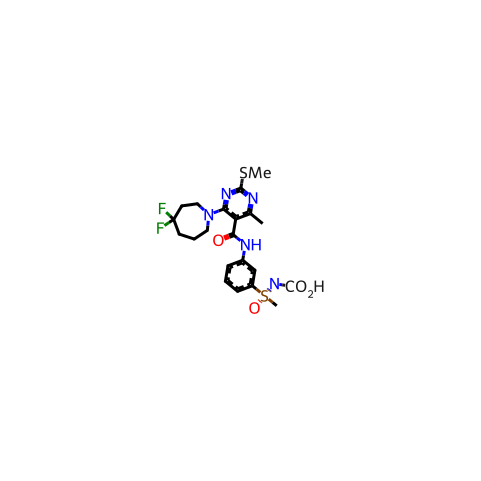 CSc1nc(C)c(C(=O)Nc2cccc(S(C)(=O)=NC(=O)O)c2)c(N2CCCC(F)(F)CC2)n1